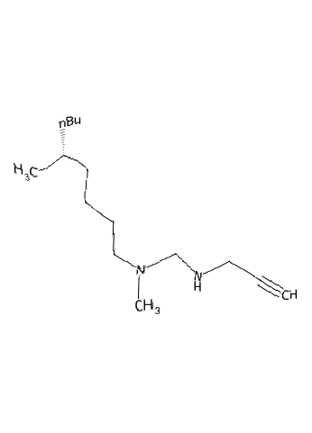 C#CCNCN(C)CCCC[C@H](C)CCCC